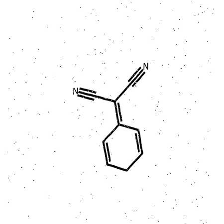 N#CC(C#N)=C1C=CCC=C1